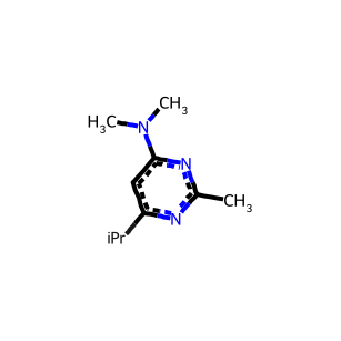 Cc1nc(C(C)C)cc(N(C)C)n1